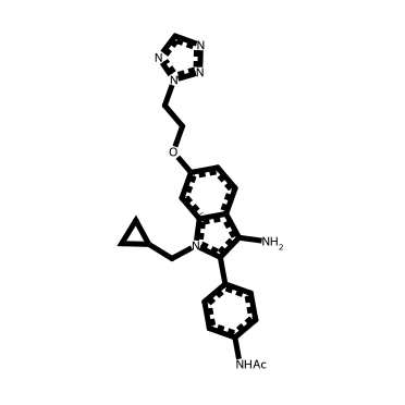 CC(=O)Nc1ccc(-c2c(N)c3ccc(OCCn4ncnn4)cc3n2CC2CC2)cc1